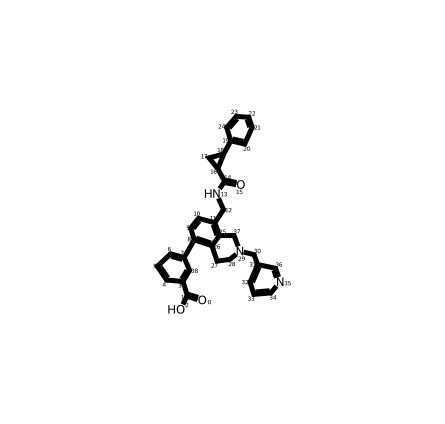 O=C(O)c1cccc(-c2ccc(CNC(=O)C3CC3c3ccccc3)c3c2CCN(Cc2cccnc2)C3)c1